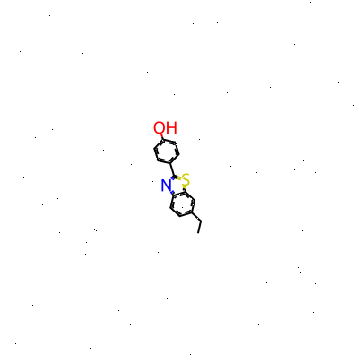 CCc1ccc2nc(-c3ccc(O)cc3)sc2c1